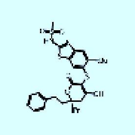 CC(C)[C@]1(CCc2ccccc2)CC(O)=C(Sc2cc3sc(NS(C)(=O)=O)nc3cc2C(C)(C)C)C(=O)O1